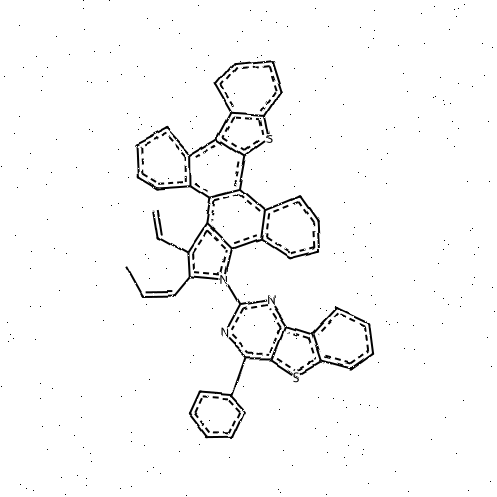 C=Cc1c(/C=C\C)n(-c2nc(-c3ccccc3)c3sc4ccccc4c3n2)c2c3ccccc3c3c4sc5ccccc5c4c4ccccc4c3c12